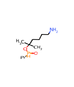 CC(C)[PH](=O)OC(C)(C)CCCCN